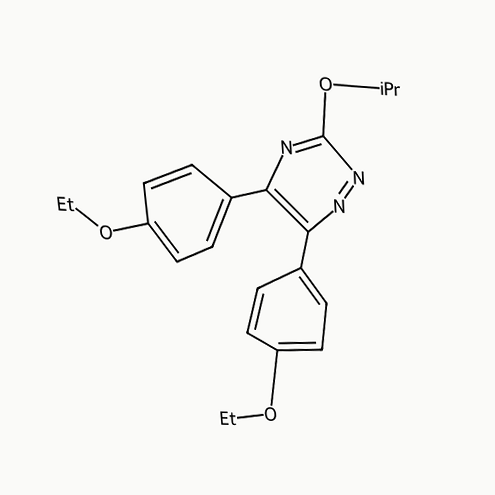 CCOc1ccc(-c2nnc(OC(C)C)nc2-c2ccc(OCC)cc2)cc1